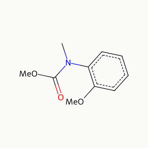 COC(=O)N(C)c1ccccc1OC